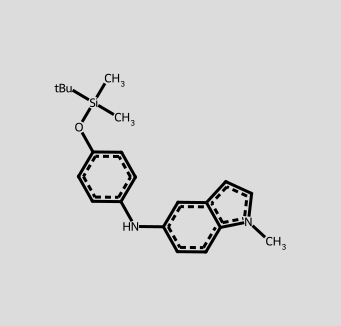 Cn1ccc2cc(Nc3ccc(O[Si](C)(C)C(C)(C)C)cc3)ccc21